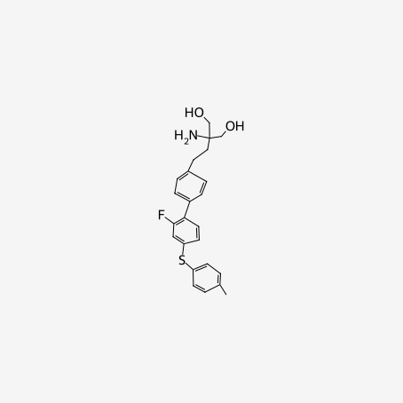 Cc1ccc(Sc2ccc(-c3ccc(CCC(N)(CO)CO)cc3)c(F)c2)cc1